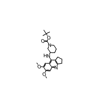 COc1cc2nc3c(c(NC4CCCN(C(=O)OC(C)(C)C)C4)c2cc1OC)CCC3